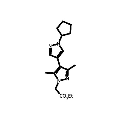 CCOC(=O)Cn1nc(C)c(-c2cnn(C3CCCC3)c2)c1C